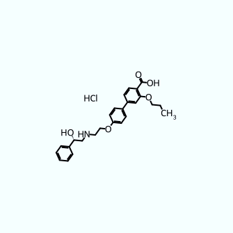 CCCOc1cc(-c2ccc(OCCNC[C@@H](O)c3ccccc3)cc2)ccc1C(=O)O.Cl